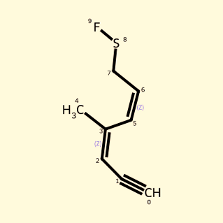 C#C/C=C(C)\C=C/CSF